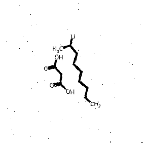 O=C(O)CC(=O)O.[Li][CH](C)CCCCCCC